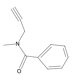 C#CCN(C)C(=O)c1ccccc1